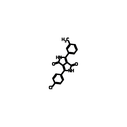 Cc1cccc(C2=C3C(=O)NC(c4ccc(Cl)cc4)=C3C(=O)N2)c1